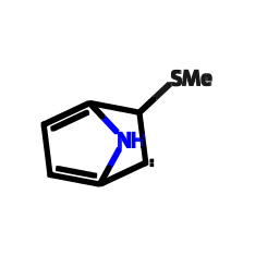 CSC1[C]c2ccc1[nH]2